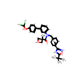 CC1(C(=O)N(CC23CCC(c4noc(C(C)(C)C)n4)(CC2)CC3)c2cccc(-c3ccc(OC(F)F)cc3)c2)COC1